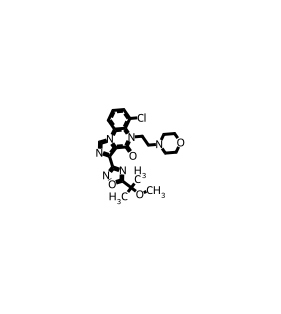 COC(C)(C)c1nc(-c2ncn3c2c(=O)n(CCN2CCOCC2)c2c(Cl)cccc23)no1